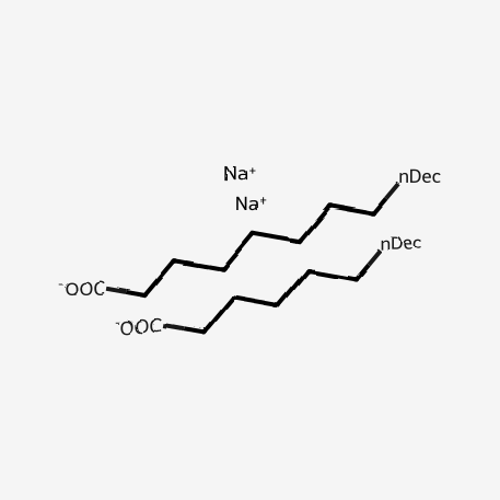 CCCCCCCCCCCCCCCC(=O)[O-].CCCCCCCCCCCCCCCCCC(=O)[O-].[Na+].[Na+]